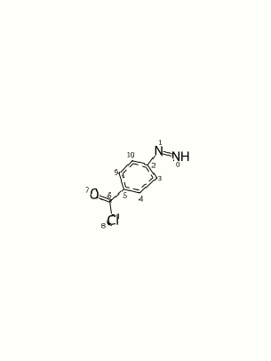 N=Nc1ccc(C(=O)Cl)cc1